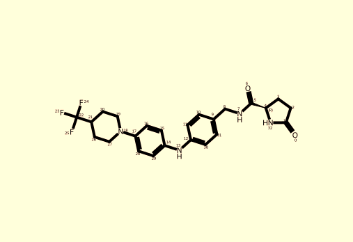 O=C1CC[C@H](C(=O)NCc2ccc(Nc3ccc(N4CCC(C(F)(F)F)CC4)cc3)cc2)N1